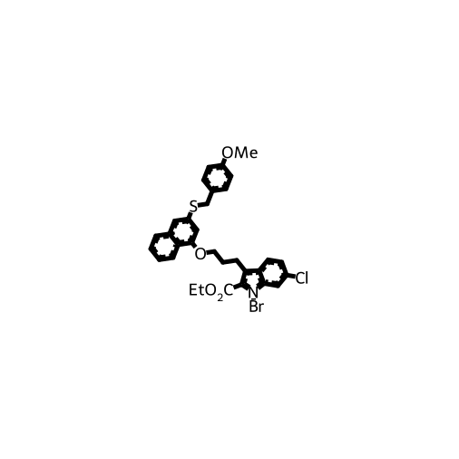 CCOC(=O)c1c(CCCOc2cc(SCc3ccc(OC)cc3)cc3ccccc23)c2ccc(Cl)cc2n1Br